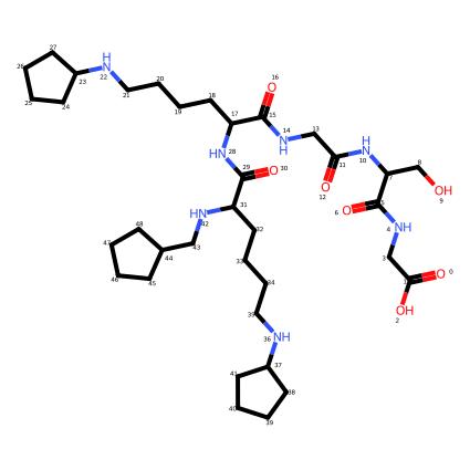 O=C(O)CNC(=O)C(CO)NC(=O)CNC(=O)C(CCCCNC1CCCC1)NC(=O)C(CCCCNC1CCCC1)NCC1CCCC1